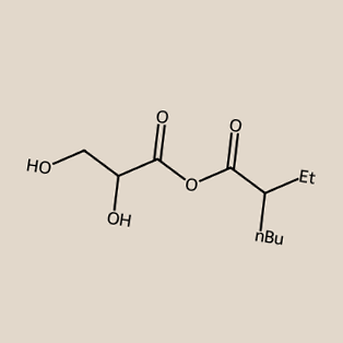 CCCCC(CC)C(=O)OC(=O)C(O)CO